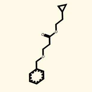 O=C(CCOCc1ccccc1)OCCC1CC1